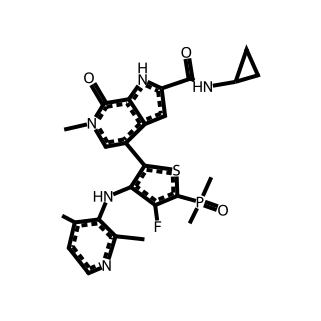 Cc1ccnc(C)c1Nc1c(-c2cn(C)c(=O)c3[nH]c(C(=O)NC4CC4)cc23)sc(P(C)(C)=O)c1F